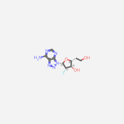 Nc1ncnc2c1nnn2[C@@H]1O[C@H](CCO)[C@@H](O)[C@@H]1F